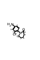 Nc1ccc(N2CCCCC2=O)c(C(F)(F)F)c1